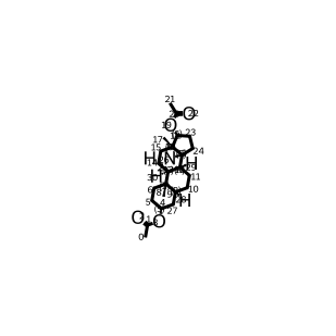 CC(=O)O[C@H]1CC[C@@]2(C)[C@H](CC[C@@H]3[C@@H]2CC[C@]2(C)[C@@H](OC(C)=O)CC[C@]32N)C1